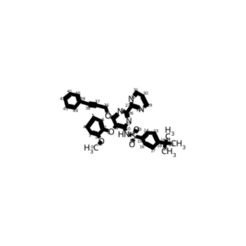 COc1ccccc1Oc1c(NS(=O)(=O)c2ccc(C(C)(C)C)cc2)nc(-c2ncccn2)nc1OCC#Cc1ccccc1